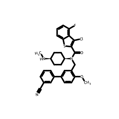 CN[C@H]1CC[C@@H](N(Cc2cc(-c3cccc(C#N)c3)ccc2OC)C(=O)c2sc3cccc(F)c3c2Cl)CC1